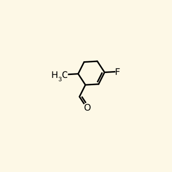 CC1CCC(F)=CC1C=O